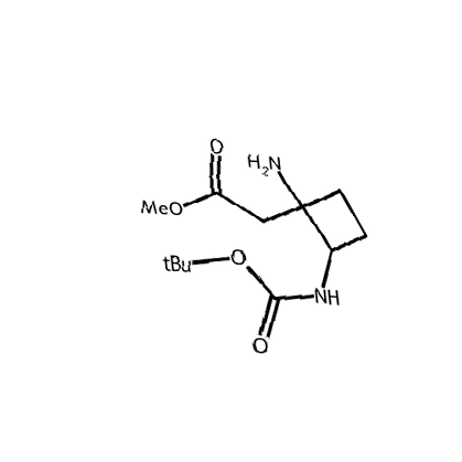 COC(=O)CC1(N)CCC1NC(=O)OC(C)(C)C